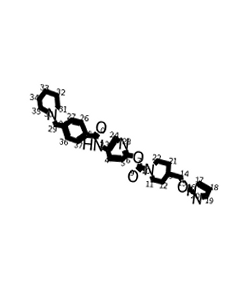 O=C(Nc1ccc(OC(=O)N2CCC(COn3cccn3)CC2)nc1)c1ccc(CN2CCCCC2)cc1